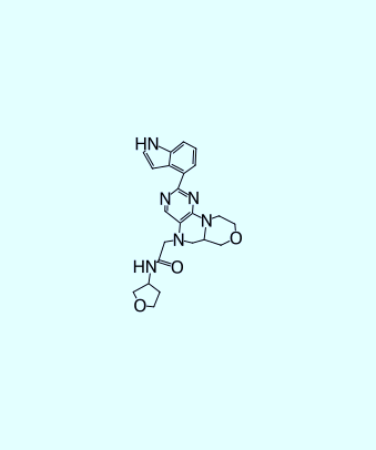 O=C(CN1CC2COCCN2c2nc(-c3cccc4[nH]ccc34)ncc21)NC1CCOC1